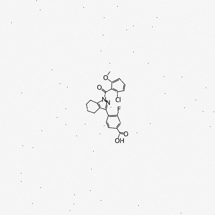 COc1cccc(Cl)c1C(=O)n1nc(-c2ccc(C(=O)O)cc2F)c2c1CCCC2